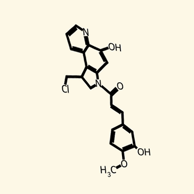 COc1ccc(C=CC(=O)N2CC(CCl)c3c2cc(O)c2ncccc32)cc1O